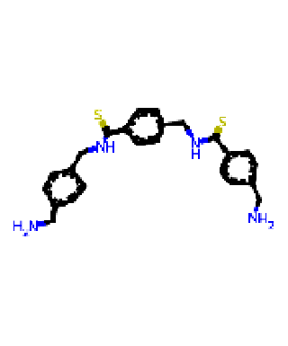 NCc1ccc(CNC(=S)c2ccc(CNC(=S)c3ccc(CN)cc3)cc2)cc1